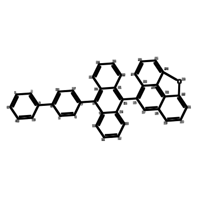 c1ccc(-c2ccc(-c3c4ccccc4c(-c4cc5cccc6oc7cccc4c7c56)c4ccccc34)cc2)cc1